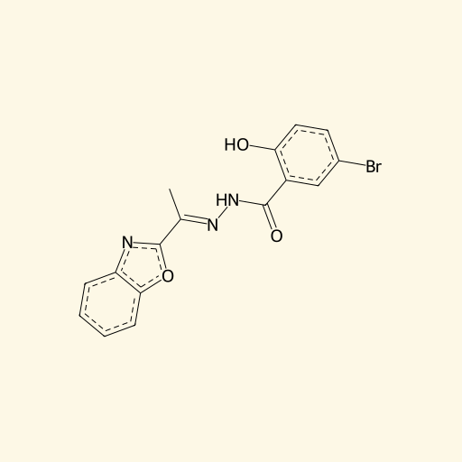 C/C(=N\NC(=O)c1cc(Br)ccc1O)c1nc2ccccc2o1